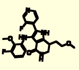 COCCC1CNC(=O)c2c1[nH]c(-c1ccncc1F)c2Nc1cccc(F)c1OC